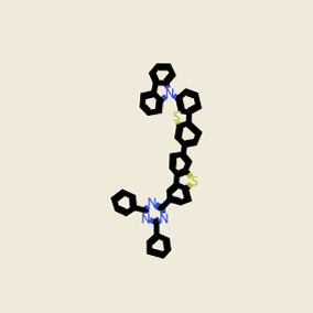 c1ccc(-c2nc(-c3ccccc3)nc(-c3ccc4sc5cc(-c6ccc7c(c6)sc6c(-n8c9ccccc9c9ccccc98)cccc67)ccc5c4c3)n2)cc1